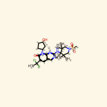 BC(F)(F)c1cc2cnc(NC3(B)C(B)(B)CN(S(C)(=O)=O)CC3(B)B)nc2n([C@H]2CC[C@H](O)[C@@H]2C)c1=O